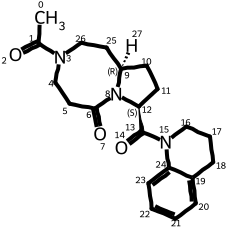 CC(=O)N1CCC(=O)N2[C@H](CC[C@H]2C(=O)N2CCCc3ccccc32)CC1